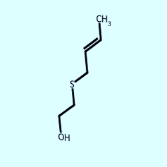 CC=CCSCCO